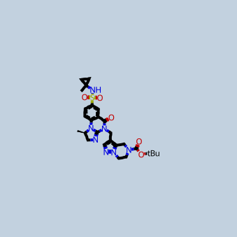 C[C@@H]1CN=C2N(Cc3cnn4c3CN(C(=O)OC(C)(C)C)CC4)C(=O)c3cc(S(=O)(=O)NC4(C)CC4)ccc3N21